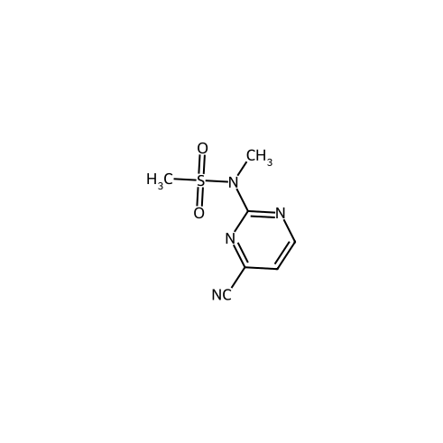 CN(c1nccc(C#N)n1)S(C)(=O)=O